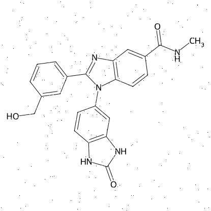 CNC(=O)c1ccc2c(c1)nc(-c1cccc(CO)c1)n2-c1ccc2[nH]c(=O)[nH]c2c1